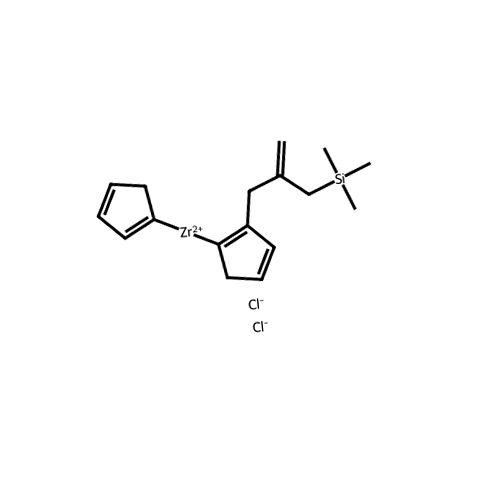 C=C(CC1=[C]([Zr+2][C]2=CC=CC2)CC=C1)C[Si](C)(C)C.[Cl-].[Cl-]